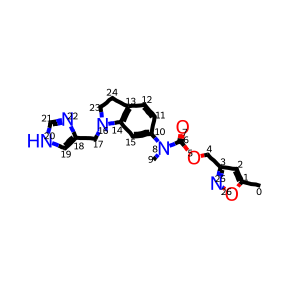 Cc1cc(COC(=O)N(C)c2ccc3c(c2)N(Cc2c[nH]cn2)CC3)no1